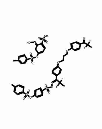 Cc1ccc(S(=O)(=O)OC2=CC=C(S(=O)(=O)O)C(=NO)C2)cc1.Cc1ccc(S(=O)(=O)Oc2ccc(S(=O)(=O)ON=C(c3ccc(OCCCOc4ccc(C(=O)C(F)(F)F)cc4)cc3)C(F)(F)F)cc2)cc1